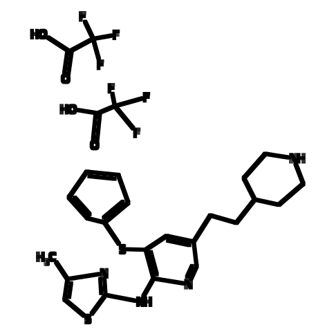 Cc1csc(Nc2ncc(CCC3CCNCC3)cc2Sc2ccccc2)n1.O=C(O)C(F)(F)F.O=C(O)C(F)(F)F